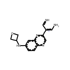 N=C/C(=C\N)c1cnc2ccc(NC3COC3)cc2n1